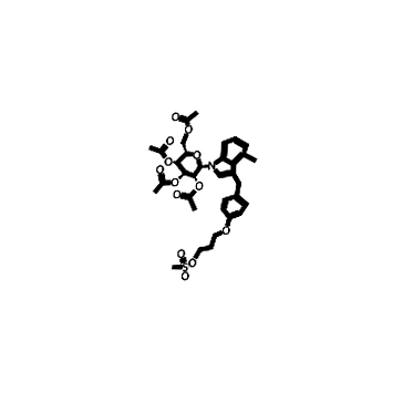 CC(=O)OC[C@H]1O[C@@H](n2cc(Cc3ccc(OCCCOS(C)(=O)=O)cc3)c3c(C)cccc32)[C@H](OC(C)=O)[C@@H](OC(C)=O)[C@@H]1OC(C)=O